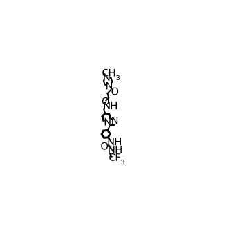 CN1CCN(C(=O)CCONCc2ccn3c(-c4cccc(NC(=O)NCC(F)(F)F)c4)cnc3c2)CC1